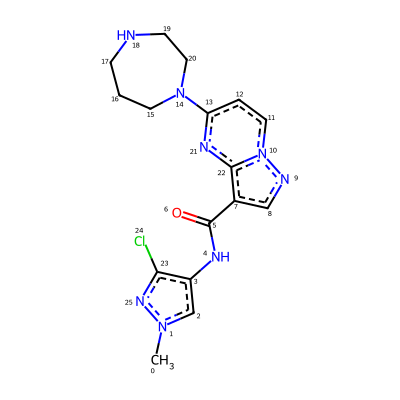 Cn1cc(NC(=O)c2cnn3ccc(N4CCCNCC4)nc23)c(Cl)n1